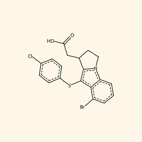 O=C(O)CC1CCn2c1c(Sc1ccc(Cl)cc1)c1c(Br)cccc12